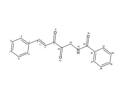 O=C(/C=C/c1ccccc1)C(=O)CNC(=O)c1ccccc1